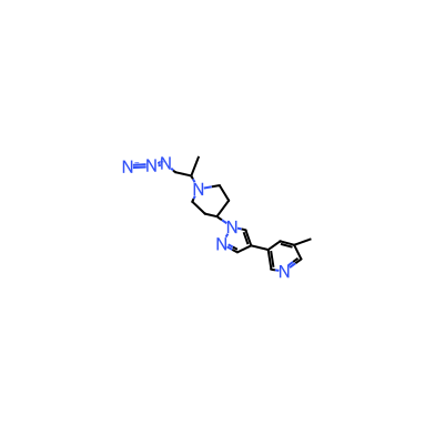 Cc1cncc(-c2cnn(C3CCN(C(C)CN=[N+]=[N-])CC3)c2)c1